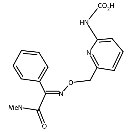 CNC(=O)C(=NOCc1cccc(NC(=O)O)n1)c1ccccc1